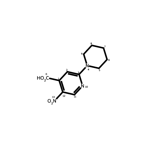 O=C(O)c1cc(N2CCCCC2)ncc1[N+](=O)[O-]